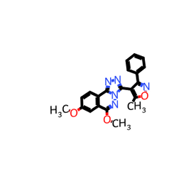 COc1ccc2c(c1)c(OC)nn1c(-c3c(-c4ccccc4)noc3C)nnc21